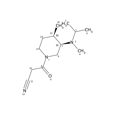 CC(C)N(C)[C@H]1CN(C(=O)CC#N)CC[C@H]1C